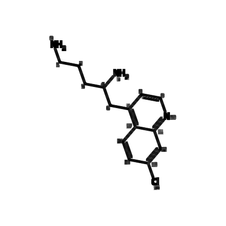 NCCCC(N)Cc1ccnc2cc(Cl)ccc12